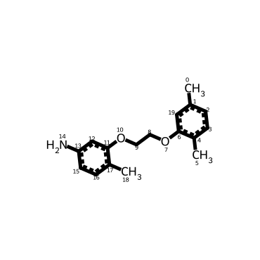 Cc1ccc(C)c(OCCOc2cc(N)ccc2C)c1